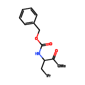 COC(=O)C(CC(C)C)NC(=O)OCc1ccccc1